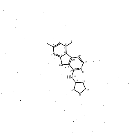 Cc1cc(C)c2c(n1)sc1c(NC3CCCC3)nccc12